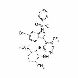 CC1CCN(C(=O)O)C(C(C)(C)C)C1Nc1ncc(C(F)(F)F)c(-c2cn(S(=O)(=O)c3ccccc3)c3cc(Br)ccc23)n1